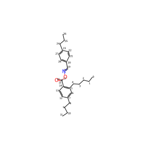 CCCCCc1cc(CCCC)ccc1C(=O)ON=Cc1ccc(CCC)cc1